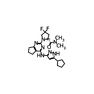 CN(C)C(=O)[C@H]1CC(F)(F)CN1c1nc2c(c(Nc3cc(C4CCCC4)[nH]n3)n1)CCC2